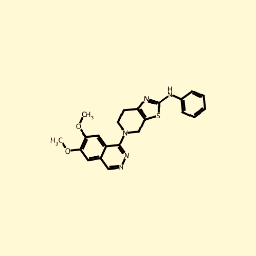 COc1cc2cnnc(N3CCc4nc(Nc5ccccc5)sc4C3)c2cc1OC